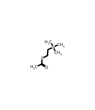 CC(=O)SCC[Si](C)(C)C